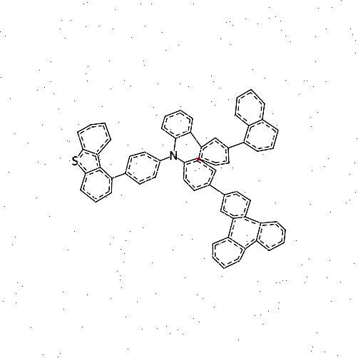 c1cc(-c2ccccc2N(c2ccc(-c3ccc4c5ccccc5c5ccccc5c4c3)cc2)c2ccc(-c3cccc4sc5ccccc5c34)cc2)cc(-c2cccc3ccccc23)c1